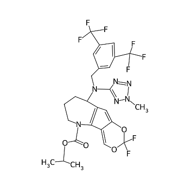 CC(C)OC(=O)N1CCCC(N(Cc2cc(C(F)(F)F)cc(C(F)(F)F)c2)c2nnn(C)n2)C2=C1C1=COC(F)(F)OC1=C2